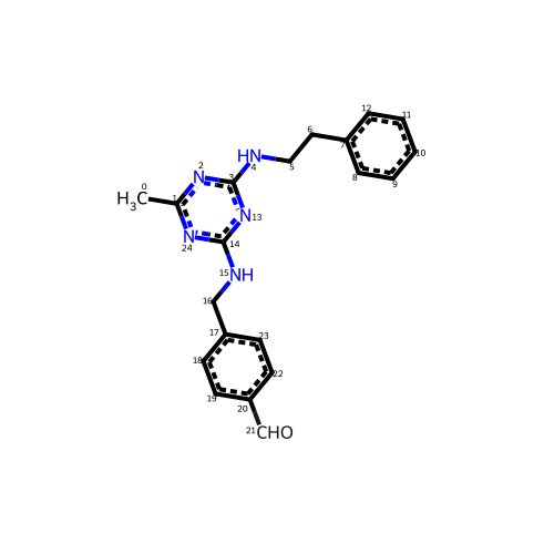 Cc1nc(NCCc2ccccc2)nc(NCc2ccc(C=O)cc2)n1